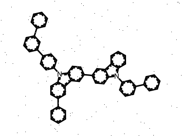 c1ccc(-c2cccc(-c3ccc(-n4c5ccc(-c6ccccc6)cc5c5cc(-c6ccc7c(c6)c6ccccc6n7-c6cccc(-c7ccccc7)c6)ccc54)cc3)c2)cc1